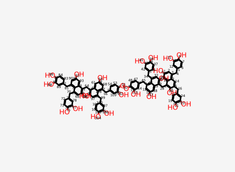 Oc1cc(Cc2ccc(O)c(O)c2)c2cc(Cc3ccc(O)c(O)c3)c(O)c(Cc3c(O)cc(Cc4ccc(O)c(O)c4)c4c(Cc5ccc(OOc6ccc(Cc7cc(O)cc8c(Cc9c(O)cc(Cc%10ccc(O)c(O)c%10)c%10c(Cc%11ccc(O)c(O)c%11)cc(O)cc9%10)c(O)cc(Cc9ccc(O)c(O)c9)c78)cc6O)c(O)c5)cc(O)cc34)c2c1